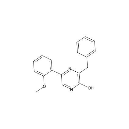 COc1ccccc1-c1cnc(O)c(Cc2ccccc2)n1